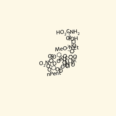 CC1COc2ccccc2N1C(=O)C(Cl)Cl.CCCCCOC(=O)COc1cc(N2C(=O)C3=C(CCCC3)C2=O)c(F)cc1Cl.CCc1cccc(C)c1N(C(=O)CCl)C(C)COC.CP(=O)(O)CCC(N)C(=O)O.CS(=O)(=O)c1ccc(C(=O)C2C(=O)CCCC2=O)c([N+](=O)[O-])c1